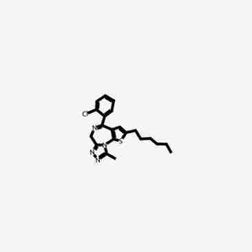 CCCCCCc1cc2c(s1)-n1c(C)nnc1CN=C2c1ccccc1Cl